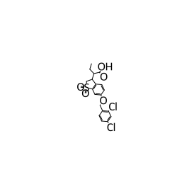 CCC(C(=O)O)C1CS(=O)(=O)c2cc(OCc3ccc(Cl)cc3Cl)ccc21